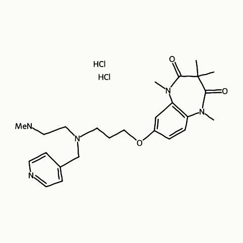 CNCCN(CCCOc1ccc2c(c1)N(C)C(=O)C(C)(C)C(=O)N2C)Cc1ccncc1.Cl.Cl